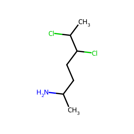 CC(N)CCC(Cl)C(C)Cl